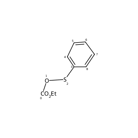 CCOC(=O)OSc1ccccc1